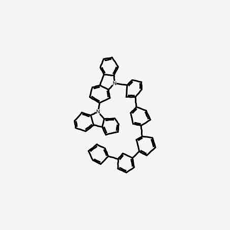 c1ccc(-c2cccc(-c3cccc(-c4ccc(-c5cccc(-n6c7ccccc7c7ccc(-n8c9ccccc9c9ccccc98)cc76)c5)cc4)c3)c2)cc1